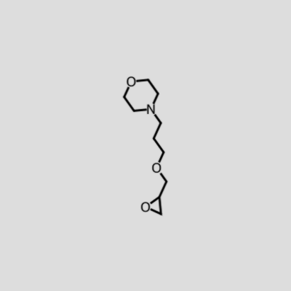 C(COCC1CO1)CN1CCOCC1